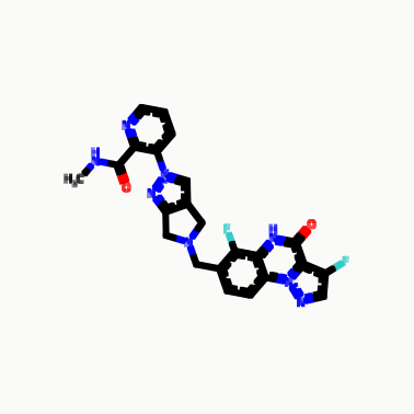 CNC(=O)c1ncccc1-n1cc2c(n1)CN(Cc1ccc3c([nH]c(=O)c4c(F)cnn43)c1F)C2